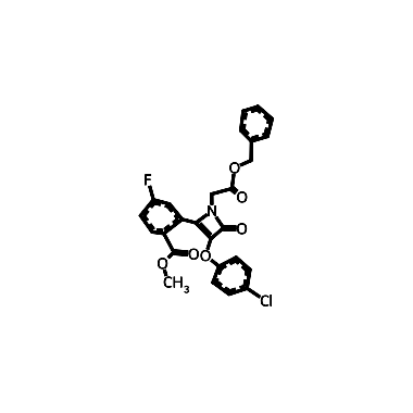 COC(=O)c1ccc(F)cc1C1=C(Oc2ccc(Cl)cc2)C(=O)N1CC(=O)OCc1ccccc1